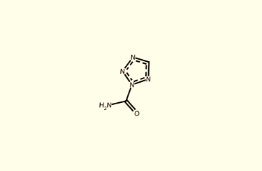 NC(=O)n1ncnn1